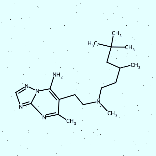 Cc1nc2ncnn2c(N)c1CCN(C)CCC(C)CC(C)(C)C